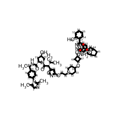 Cc1cnc(C)n1-c1ccc([C@H](C)NC(=O)[C@@H]2C[C@@H](O)CN2C(=O)[C@@H](c2cc(OCCN3CCC(O[C@H]4C[C@H](Oc5cc(N6C7CCC6CN(c6cc(-c8ccccc8O)nnc6N)C7)ccn5)C4)CC3)no2)C(C)C)cc1